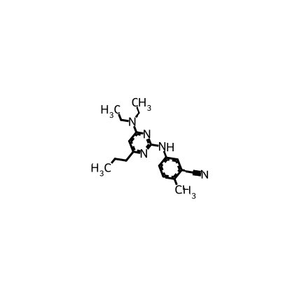 CCCc1cc(N(CC)CC)nc(Nc2ccc(C)c(C#N)c2)n1